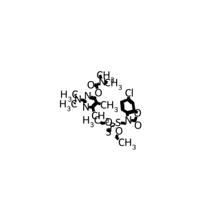 CCOP(=S)(OCC)SCn1c(=O)oc2cc(Cl)ccc21.Cc1nc(N(C)C)nc(OC(=O)N(C)C)c1C